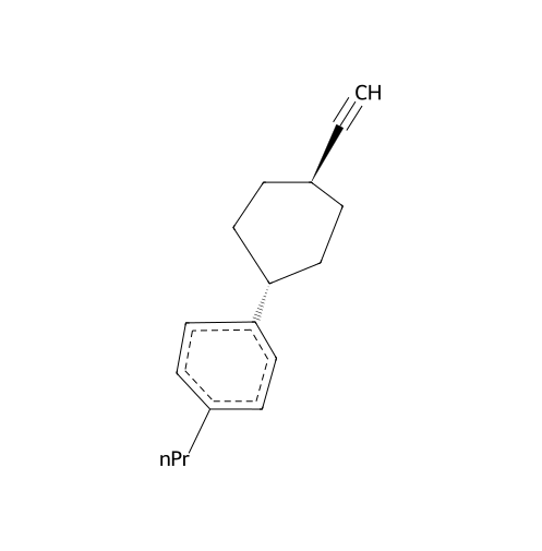 C#C[C@H]1CC[C@H](c2ccc(CCC)cc2)CC1